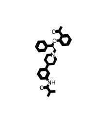 CC(=O)c1ccccc1O[C@@H](CN1CCC(c2cccc(NC(=O)C(C)C)c2)CC1)c1ccccc1